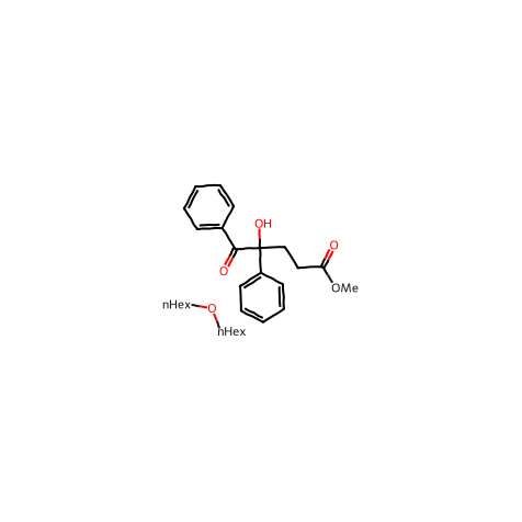 CCCCCCOCCCCCC.COC(=O)CCC(O)(C(=O)c1ccccc1)c1ccccc1